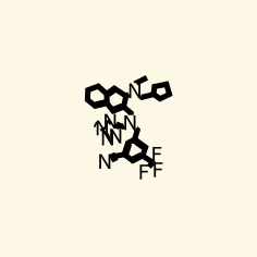 CCN(CC1CCCC1)C1C=C2CCCC=C2C=C1CN(Cc1cc(C#N)cc(C(F)(F)F)c1)c1nnn(C)n1